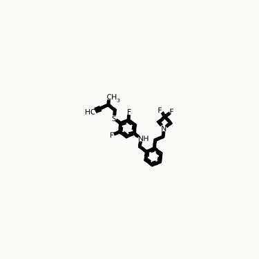 C#CC(C)CSc1c(F)cc(NCc2ccccc2CCN2CC(F)(F)C2)cc1F